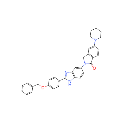 O=C1c2ccc(N3CCCCC3)cc2CN1c1ccc2[nH]c(-c3ccc(OCc4ccccc4)cc3)nc2c1